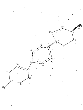 CCC[C@H]1CC[C@H](c2ccc(C3=CCC(C)CC3)cc2)CC1